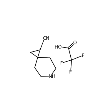 N#CC1CC12CCNCC2.O=C(O)C(F)(F)F